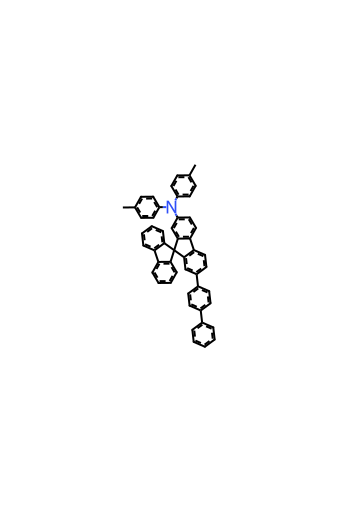 Cc1ccc(N(c2ccc(C)cc2)c2ccc3c(c2)C2(c4ccccc4-c4ccccc42)c2cc(-c4ccc(-c5ccccc5)cc4)ccc2-3)cc1